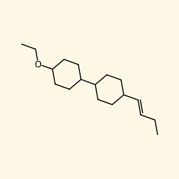 CCC=CC1CCC(C2CCC(OCC)CC2)CC1